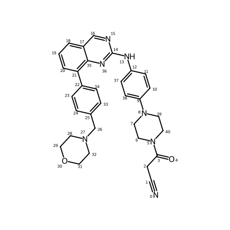 N#CCC(=O)N1CCN(c2ccc(Nc3ncc4cccc(-c5ccc(CN6CCOCC6)cc5)c4n3)cc2)CC1